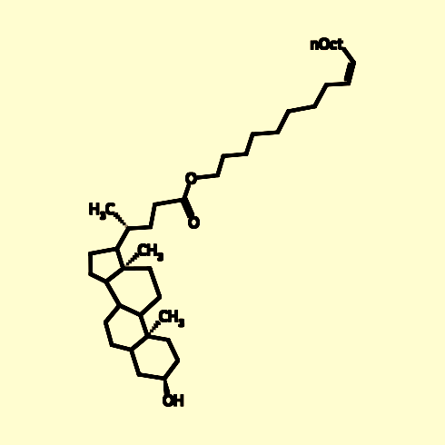 CCCCCCCC/C=C\CCCCCCCCOC(=O)CC[C@@H](C)C1CCC2C3CCC4C[C@H](O)CC[C@]4(C)C3CC[C@@]21C